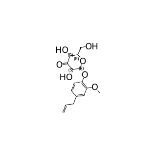 C=CCc1ccc(O[C@H]2O[C@H](CO)[C@@H](O)C(=O)[C@H]2O)c(OC)c1